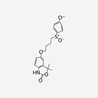 COc1ccc([S+]([O-])CCCCOc2ccc3c(c2)C(C)(C)OC(=O)N3)cc1